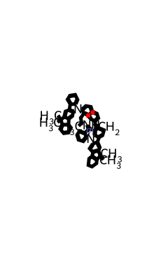 C=C(/N=C(\NC(C)Cc1ccccc1-n1c2ccccc2c2cc3c(cc21)-c1ccccc1C3(C)C)c1ccccc1-n1c2ccccc2c2cc3c(cc21)C1=C(CCCC1)C3(C)C)c1ccccc1